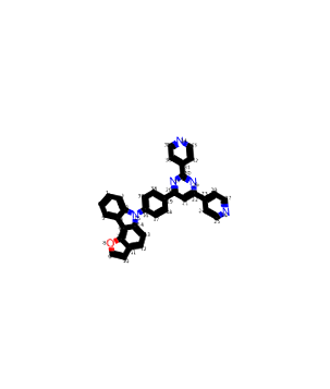 c1ccc2c(c1)c1c3occc3ccc1n2-c1ccc(-c2cc(-c3ccncc3)nc(-c3ccncc3)n2)cc1